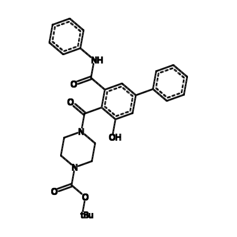 CC(C)(C)OC(=O)N1CCN(C(=O)c2c(O)cc(-c3ccccc3)cc2C(=O)Nc2ccccc2)CC1